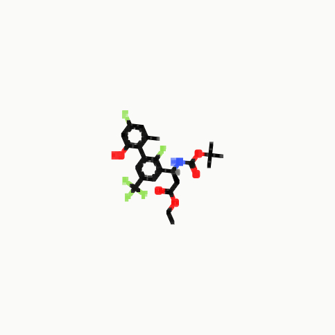 CCOC(=O)C[C@H](NC(=O)OC(C)(C)C)c1cc(C(F)(F)F)cc(-c2c(C)cc(F)cc2O)c1F